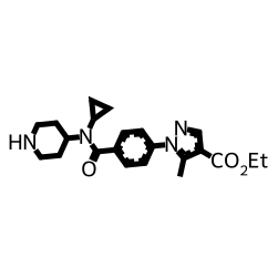 CCOC(=O)c1cnn(-c2ccc(C(=O)N(C3CCNCC3)C3CC3)cc2)c1C